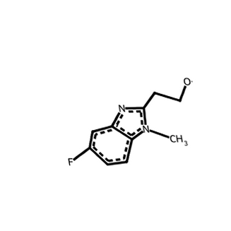 Cn1c(CC[O])nc2cc(F)ccc21